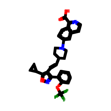 O=C(O)c1nccc2cc(N3CCC(C=Cc4c(-c5ccccc5OC(F)(F)F)noc4C4CC4)CC3)ccc12